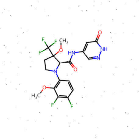 COc1c(N2CCC(OC)(C(F)(F)F)[C@H]2C(=O)Nc2cn[nH]c(=O)c2)ccc(F)c1F